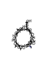 C/C=C/C[C@@H](C)[C@@H](OC(C)=O)[C@H]1C(=O)N[C@@H](CC)C(=O)N(C)[C@H](C)C(=O)N(C)[C@@H]([C@H](C)COCC(C)(C)O)C(=O)N[C@@H](C(C)C)C(=O)N(C)[C@@H](CC(C)C)C(=O)N[C@@H](C)C(=O)N[C@H](C)C(=O)N(C)[C@@H](CC(C)C)C(=O)N(C)[C@@H](CC(C)C)C(=O)N(C)[C@@H](C(C)C)C(=O)N1C